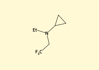 CCN(CC(F)(F)F)C1CC1